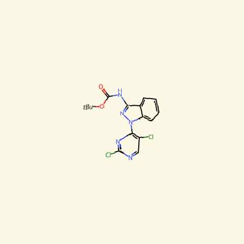 CC(C)(C)OC(=O)Nc1nn(-c2nc(Cl)ncc2Cl)c2ccccc12